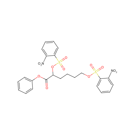 O=C(Oc1ccccc1)C(CCCCOS(=O)(=O)c1ccccc1[N+](=O)[O-])OS(=O)(=O)c1ccccc1[N+](=O)[O-]